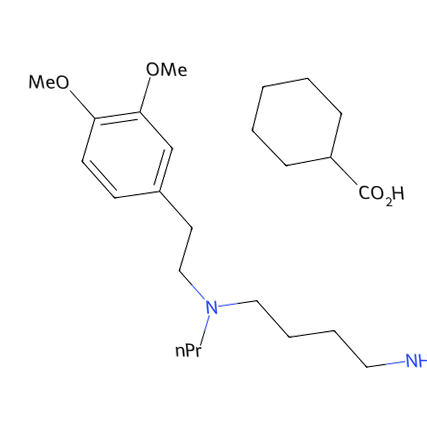 CCCN(CCCCN)CCc1ccc(OC)c(OC)c1.O=C(O)C1CCCCC1